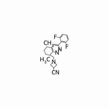 C[C@H]1CC[C@](C)(CN2CC(C#N)C2)c2nnc(-c3c(F)cccc3F)cc21